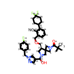 CC(C)(C(=O)N1CC2(C1)CN(C(O)c1cnn(Cc3ccc(F)cc3)c1)C[C@H]2COCc1cccc(C2CCC(F)(F)CC2)c1C#N)C(F)(F)F